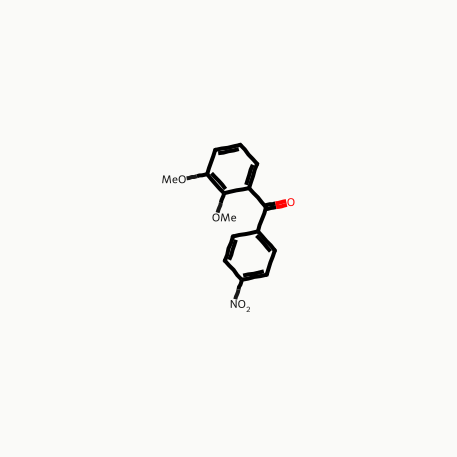 COc1cccc(C(=O)c2ccc([N+](=O)[O-])cc2)c1OC